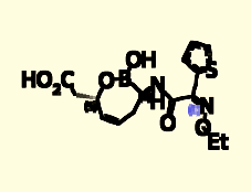 CCO/N=C(\C(=O)N[C@H]1CC=C[C@H](CC(=O)O)OB1O)c1cccs1